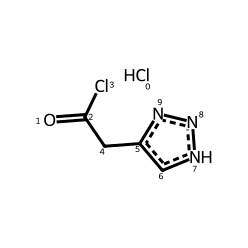 Cl.O=C(Cl)Cc1c[nH]nn1